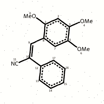 COc1cc(OC)c(OC)cc1C=C(C#N)c1ccccc1